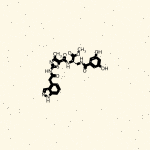 COC(=O)[C@H](CNC(=O)c1cc(O)cc(O)c1)NC(=O)c1sc(NC(=O)Cc2cccc3[nH]ncc23)nc1C